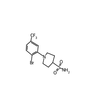 NS(=O)(=O)C1CCN(c2cc(C(F)(F)F)ccc2Br)CC1